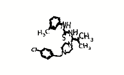 Cc1cccc(NC(=S)NC(C(C)C)N2CCN(Cc3ccc(Cl)cc3)CC2)c1